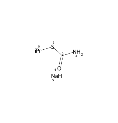 CC(C)SC(N)=O.[NaH]